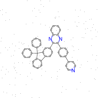 c1ccc(C2(c3ccccc3)c3ccccc3-c3ccc(-c4nc5ccccc5nc4-c4ccc(-c5ccncc5)cc4)cc32)cc1